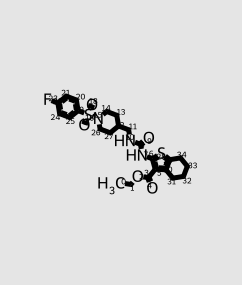 CCOC(=O)c1c(NC(=O)NCC2CCN(S(=O)(=O)c3ccc(F)cc3)CC2)sc2c1CCCC2